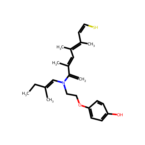 C=C(/C(C)=C/C(C)=C(C)/C=C\S)N(/C=C(\C)CC)CCOc1ccc(O)cc1